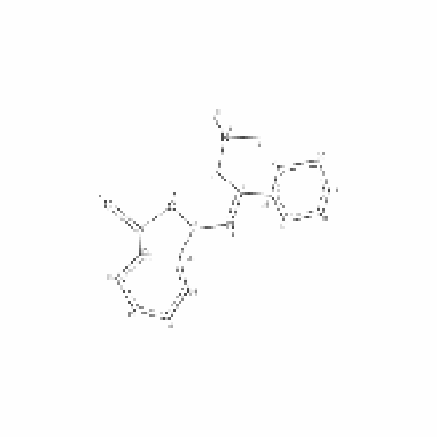 CN(C)CC(=NC1OC(=O)c2ccccc21)c1ccccc1